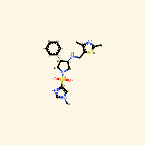 Cc1nc(C)c(CN[C@H]2CN(S(=O)(=O)c3cn(C)cn3)C[C@@H]2c2ccccc2)s1